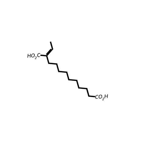 CC=C(CCCCCCCCCC(=O)O)C(=O)O